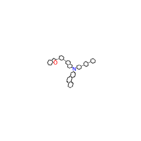 c1ccc(-c2ccc(-c3ccc(N(c4ccc5cc(-c6cccc(-c7cc8ccccc8o7)c6)ccc5c4)c4ccc5c(ccc6ccccc65)c4)cc3)cc2)cc1